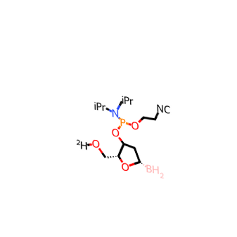 [2H]OC[C@H]1O[C@@H](B)CC1OP(OCC[N+]#[C-])N(C(C)C)C(C)C